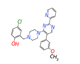 COc1cccc(-c2cnc(-c3ccccn3)nc2N2CCN(Cc3cc(Cl)ccc3O)CC2)c1